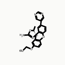 CC1OC(N)=N[C@@]12c1cc(OCC(C)(C)C)ccc1Oc1ccc(-c3cncnc3)cc12